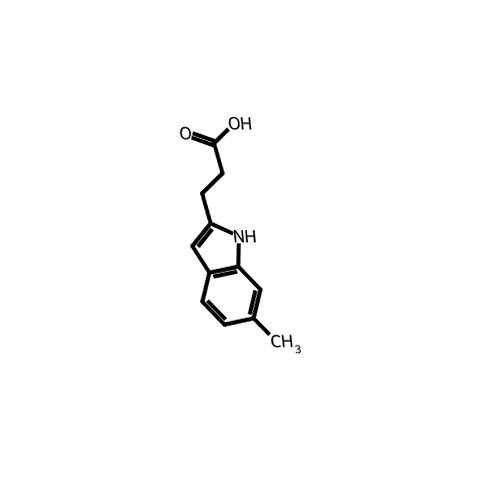 Cc1ccc2cc(CCC(=O)O)[nH]c2c1